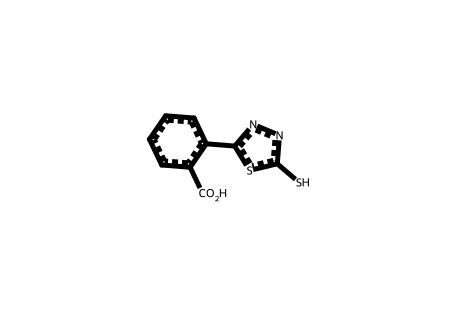 O=C(O)c1ccccc1-c1nnc(S)s1